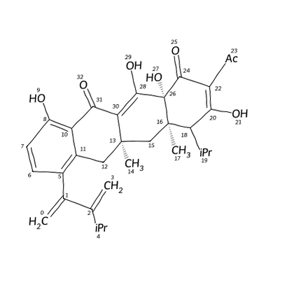 C=C(C(=C)C(C)C)c1ccc(O)c2c1C[C@]1(C)C[C@]3(C)C(C(C)C)C(O)=C(C(C)=O)C(=O)[C@]3(O)C(O)=C1C2=O